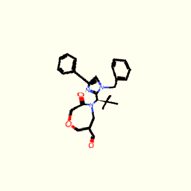 CC(C)(C)[C@H](c1nc(-c2ccccc2)cn1Cc1ccccc1)N1CC(C=O)COCC1=O